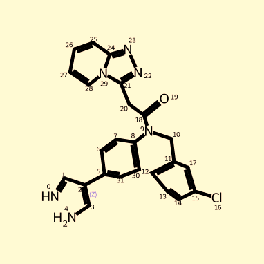 N=C/C(=C\N)c1ccc(N(Cc2cccc(Cl)c2)C(=O)Cc2nnc3ccccn23)cc1